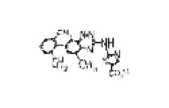 Cc1cccc(C)c1-c1cc(C)c2nc(Nc3ncc(C(=O)O)s3)nnc2c1